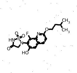 CC(C)CCOc1ccc2cc(O)c(N3CC(=O)NS3(=O)=O)c(F)c2n1